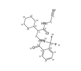 N#CCNC(=O)C(CNC(=O)c1ccccc1C(F)(F)F)C1CCCCC1